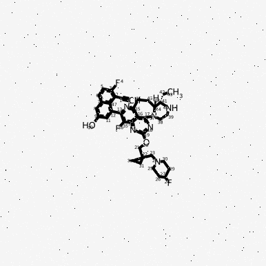 C#Cc1c(F)ccc2cc(O)cc(-c3nc4c5c(nc(OCC6(CN7CCC(F)CC7)CC6)nc5c3F)N3CCN[C@@H](CC)[C@H]3CC4)c12